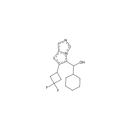 OC(c1c(C2CC(F)(F)C2)sc2cncn12)C1CCCCC1